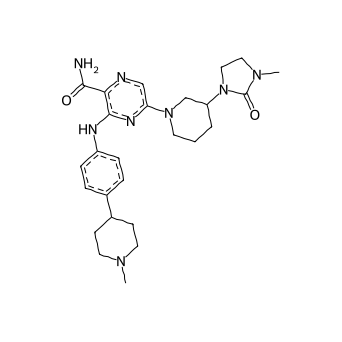 CN1CCC(c2ccc(Nc3nc(N4CCCC(N5CCN(C)C5=O)C4)cnc3C(N)=O)cc2)CC1